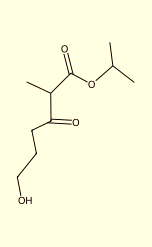 CC(C)OC(=O)C(C)C(=O)CCCO